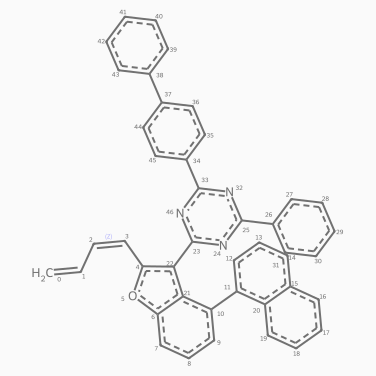 C=C/C=C\c1oc2cccc(-c3cccc4ccccc34)c2c1-c1nc(-c2ccccc2)nc(-c2ccc(-c3ccccc3)cc2)n1